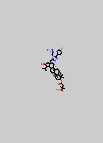 CC(C)C1=C2C3CC[C@@H]4C5(C)CC[C@H](OC(=O)CC(C)(C)C(=O)O)C(C)(C)[C@@H]5CCC4(C)[C@]3(C)CCC2(Cc2nnc(C3=NC=C(F)CC3)n2CCN)CC1=O